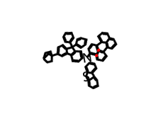 c1ccc(-c2cccc3cccc(-c4ccc(N(c5ccc6c(c5)C(c5ccccc5)(c5ccccc5)c5ccc(C78CCC(CC7)C8)cc5-6)c5ccc6c(c5)sc5ccccc56)cc4)c23)cc1